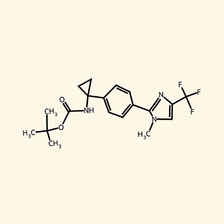 Cn1cc(C(F)(F)F)nc1-c1ccc(C2(NC(=O)OC(C)(C)C)CC2)cc1